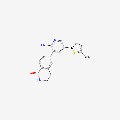 Cc1ccc(-c2cnc(N)c(-c3ccc4c(c3)CCNC4=O)c2)s1